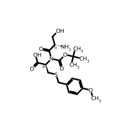 COc1ccc(CSC[C@@H](C(=O)O)N(C(=O)OC(C)(C)C)C(=O)[C@@H](N)CO)cc1